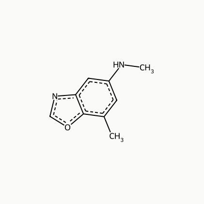 CNc1cc(C)c2ocnc2c1